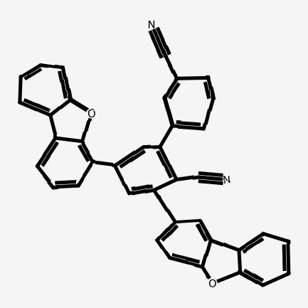 N#Cc1cccc(-c2cc(-c3cccc4c3oc3ccccc34)cc(-c3ccc4oc5ccccc5c4c3)c2C#N)c1